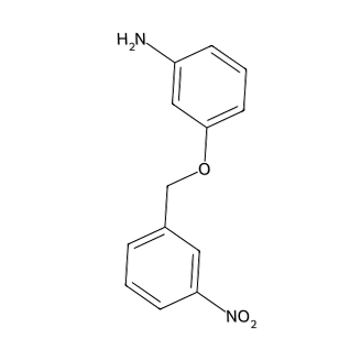 Nc1cccc(OCc2cccc([N+](=O)[O-])c2)c1